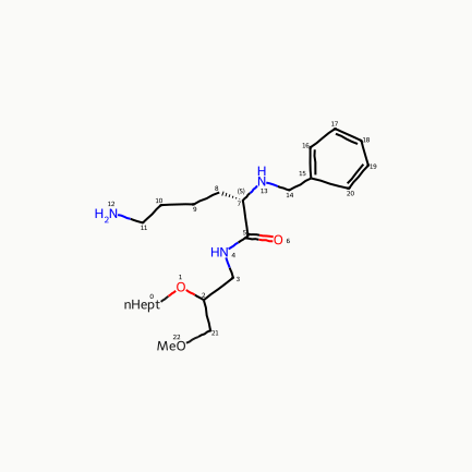 CCCCCCCOC(CNC(=O)[C@H](CCCCN)NCc1ccccc1)COC